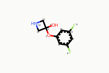 OC1(Oc2cc(F)cc(F)c2)CNC1